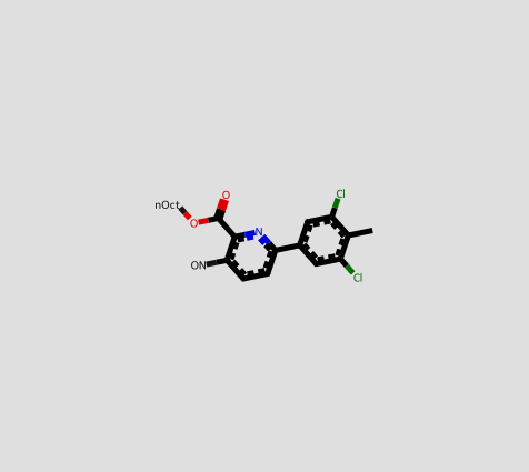 CCCCCCCCOC(=O)c1nc(-c2cc(Cl)c(C)c(Cl)c2)ccc1N=O